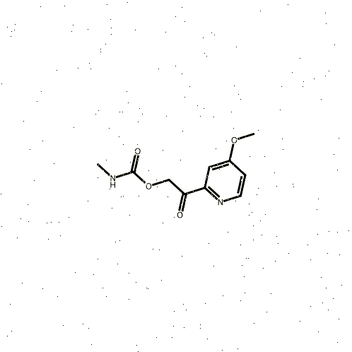 CNC(=O)OCC(=O)c1cc(OC)ccn1